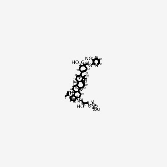 C=C(C)[C@@H]1CC[C@]2(NCC(O)CO[Si](C)(C)C(C)(C)C)CC[C@]3(C)[C@H](CC[C@@H]4[C@@]5(C)CC=C(C6=CCC(COc7ncccc7C#N)(C(=O)O)CC6)C(C)(C)[C@@H]5CC[C@]43C)[C@@H]12